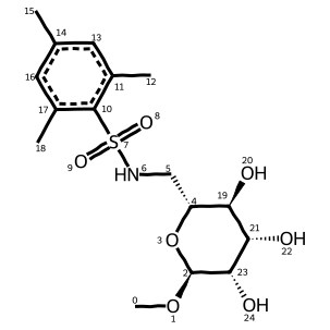 CO[C@H]1O[C@H](CNS(=O)(=O)c2c(C)cc(C)cc2C)[C@@H](O)[C@H](O)[C@@H]1O